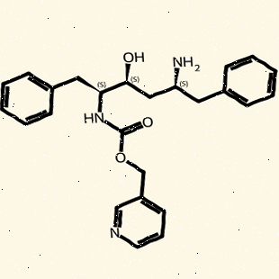 N[C@@H](Cc1ccccc1)C[C@H](O)[C@H](Cc1ccccc1)NC(=O)OCc1cccnc1